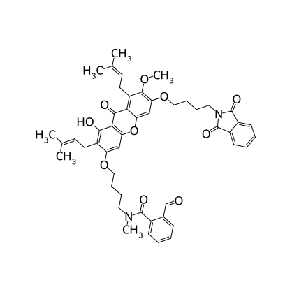 COc1c(OCCCCN2C(=O)c3ccccc3C2=O)cc2oc3cc(OCCCCN(C)C(=O)c4ccccc4C=O)c(CC=C(C)C)c(O)c3c(=O)c2c1CC=C(C)C